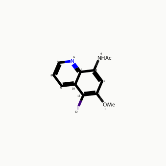 COc1cc(NC(C)=O)c2ncccc2c1I